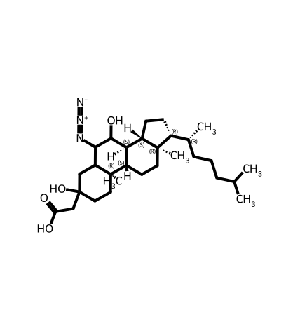 CC(C)CCC[C@@H](C)[C@H]1CC[C@H]2[C@@H]3C(O)C(N=[N+]=[N-])C4CC(O)(CC(=O)O)CC[C@]4(C)[C@H]3CC[C@]12C